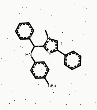 CCCCc1ccc(NC(c2ccccc2)c2nc(-c3ccccc3)cn2C)cc1